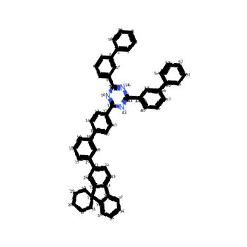 c1ccc(-c2cccc(-c3nc(-c4ccc(-c5cccc(-c6ccc7c(c6)C6(CCCCC6)c6ccccc6-7)c5)cc4)nc(-c4cccc(-c5ccccc5)c4)n3)c2)cc1